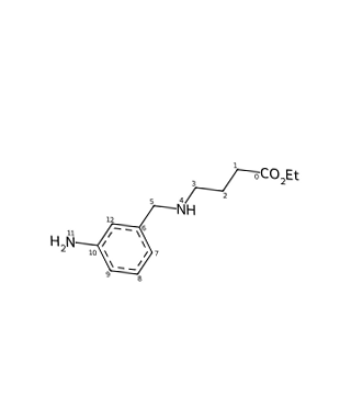 CCOC(=O)CCCNCc1cccc(N)c1